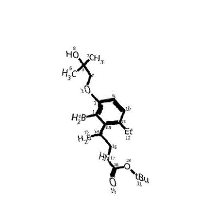 Bc1c(OCC(C)(C)O)ccc(CC)c1C(B)CNC(=O)OC(C)(C)C